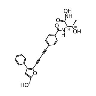 C[C@@H](O)[C@H](NC(=O)c1ccc(C#CC#Cc2oc(CO)cc2-c2ccccc2)cc1)C(=O)NO